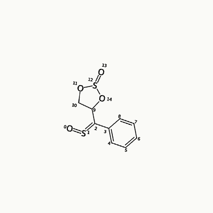 O=S=C(c1ccccc1)C1COS(=O)O1